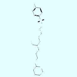 O=S(=O)(NCCCCC(CI)CCCOC1CCCCO1)c1ccc(Cl)cc1